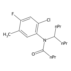 CCCC(=O)N(c1cc(C)c(F)cc1Cl)C(CCC)CCC